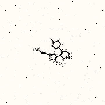 CC1CCC(C2=C(c3cc(C#CC(C)(C)C)sc3C(=O)O)CNCC2)CC1